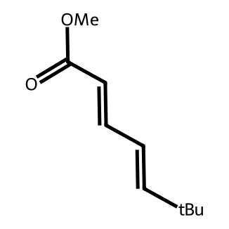 COC(=O)/C=C/C=C/C(C)(C)C